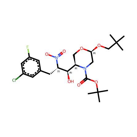 CC(C)(C)CO[C@H]1CN(C(=O)OC(C)(C)C)[C@@H]([C@@H](O)[C@H](Cc2cc(F)cc(Cl)c2)[N+](=O)[O-])CO1